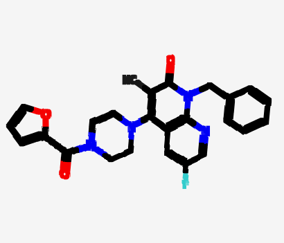 N#Cc1c(N2CCN(C(=O)c3ccco3)CC2)c2cc(F)cnc2n(Cc2ccccc2)c1=O